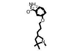 CN1CC(CCCOc2cccc([S+](N)[O-])c2)CC1(C)C